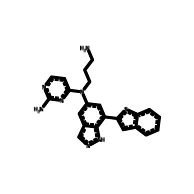 NCCCN(c1cc(-c2cc3ccccc3s2)c2[nH]ncc2c1)c1ccnc(N)n1